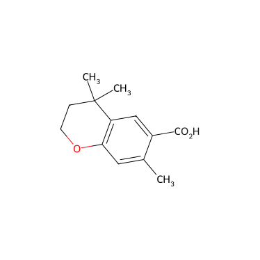 Cc1cc2c(cc1C(=O)O)C(C)(C)CCO2